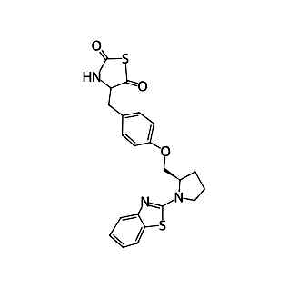 O=C1NC(Cc2ccc(OC[C@H]3CCCN3c3nc4ccccc4s3)cc2)C(=O)S1